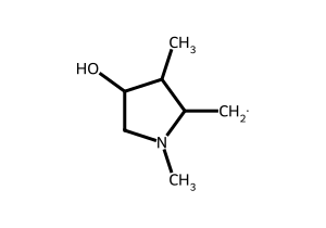 [CH2]C1C(C)C(O)CN1C